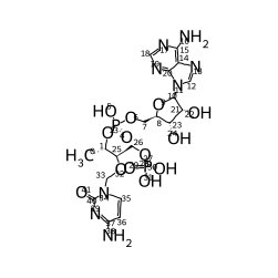 C[C@H](OP(=O)(O)OC[C@H]1O[C@@H](n2cnc3c(N)ncnc32)[C@H](O)[C@@H]1O)[C@@H](COP(=O)(O)O)OCn1ccc(N)nc1=O